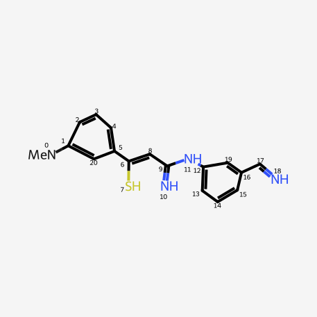 CNc1cccc(/C(S)=C/C(=N)Nc2cccc(C=N)c2)c1